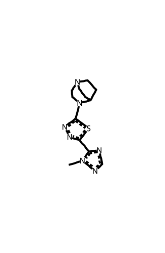 Cn1ncnc1-c1nnc(N2CCN3CCC2CC3)s1